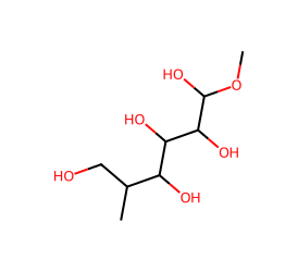 COC(O)C(O)C(O)C(O)C(C)CO